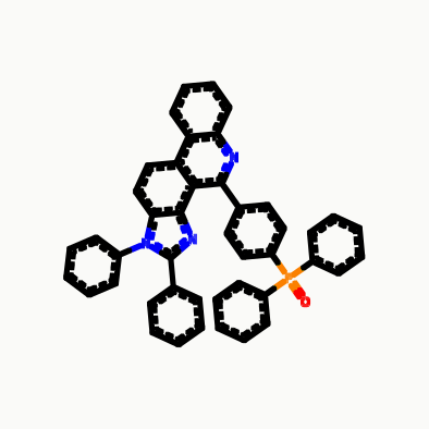 O=P(c1ccccc1)(c1ccccc1)c1ccc(-c2nc3ccccc3c3ccc4c(nc(-c5ccccc5)n4-c4ccccc4)c23)cc1